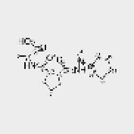 C[C@H](NC(=O)N1CCCC1C(=O)NN(C)c1ccccc1)C(=O)O